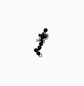 CN(C)CC[C@H](CSc1ccccc1)Nc1ccc(S(=O)(=O)NC(=O)c2ccc(C3=CCN(Cc4ccccc4-c4ccc(Cl)cc4)CC3)cc2)cc1[N+](=O)[O-]